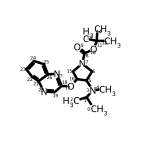 CC(C)N(C)C1CN(C(=O)OC(C)(C)C)CC1Oc1cnc2ccccc2n1